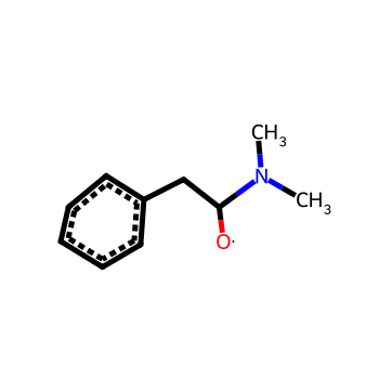 CN(C)C([O])Cc1ccccc1